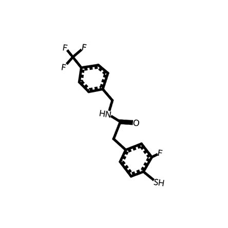 O=C(Cc1ccc(S)c(F)c1)NCc1ccc(C(F)(F)F)cc1